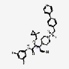 CC1(CO/C(C(=O)Nc2cc(F)cc(F)c2)=C(/C=N)N2CCN(S(=O)(=O)Cc3ccc(-c4ccncc4)cc3)CC2)CC1